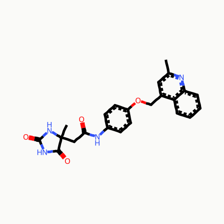 Cc1cc(COc2ccc(NC(=O)CC3(C)NC(=O)NC3=O)cc2)c2ccccc2n1